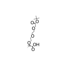 C[C@H](OCCOCCOCC(=O)OC(C)(C)C)C(=O)O